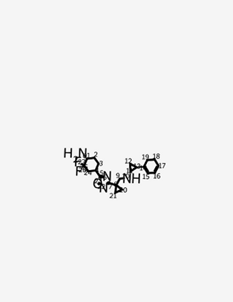 NC1CCC(c2nc(C3(CN[C@@H]4C[C@H]4C4=CC=CCC4)CC3)no2)CC1(F)F